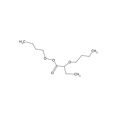 CCCCOOC(=O)C(CC)OCCCC